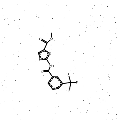 COC(=O)c1cnc(NC(=O)c2cccc(C(F)(F)F)c2)s1